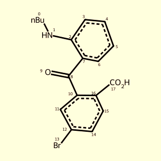 CCCCNc1ccccc1C(=O)c1cc(Br)ccc1C(=O)O